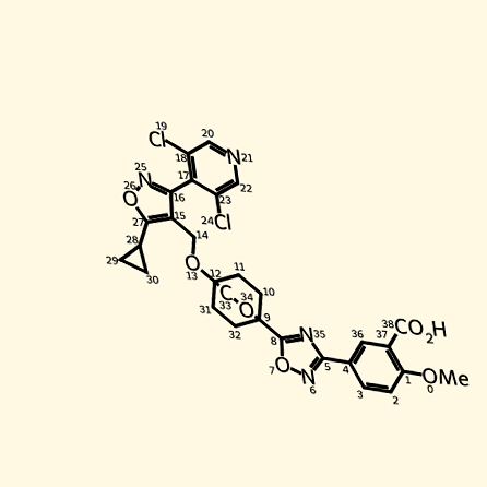 COc1ccc(-c2noc(C34CCC(OCc5c(-c6c(Cl)cncc6Cl)noc5C5CC5)(CC3)CO4)n2)cc1C(=O)O